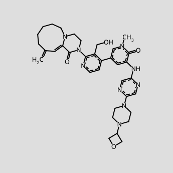 C=C1/C=C2/C(=O)N(c3nccc(-c4cc(Nc5cnc(N6CCN(C7COC7)CC6)cn5)c(=O)n(C)c4)c3CO)CCN2CCCCC1